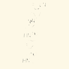 N#Cc1ccc(-n2cc(C(=O)Nc3ccc([C@H]4CNCCO4)cc3)cn2)cc1F